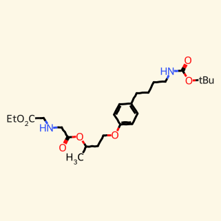 CCOC(=O)CNCC(=O)OC(C)CCOc1ccc(CCCCNC(=O)OC(C)(C)C)cc1